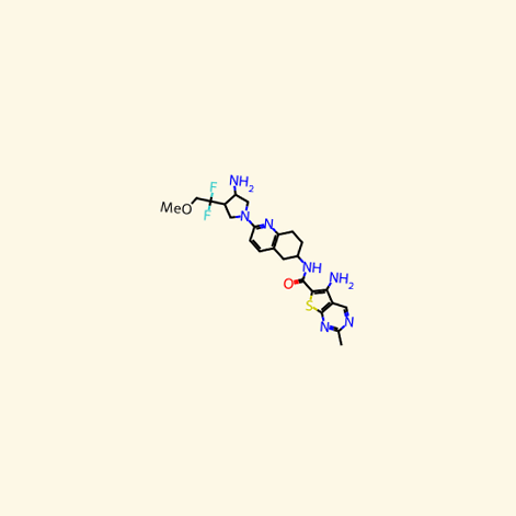 COCC(F)(F)C1CN(c2ccc3c(n2)CCC(NC(=O)c2sc4nc(C)ncc4c2N)C3)CC1N